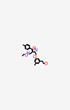 CCO/N=C/c1c(COc2cc(C)cc(CC=O)c2)noc1-c1ccc(C)cc1